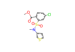 COC(=O)c1ccc(Cl)cc1S(=O)(=O)N(C)c1ccsc1